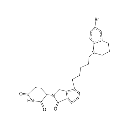 O=C1CCC(N2Cc3c(CCCCCN4CCCc5cc(Br)ccc54)cccc3C2=O)C(=O)N1